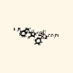 CCOC(=O)[C@H](C)NP(=O)(CO[C@@H]1C=C(F)C(n2cnc3c(N)ncnc32)O1)Oc1ccccc1